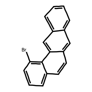 Brc1cccc2ccc3cc4ccccc4cc3c12